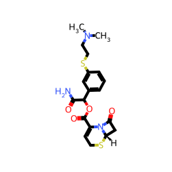 CN(C)CCSc1cccc(C(OC(=O)C2=CCS[C@H]3CC(=O)N23)C(N)=O)c1